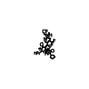 CCCC(CCC)N(C)C(=O)c1nc(C(=O)NC2CCCC2)sc1-c1cnc(NCC(F)(F)F)cc1C(F)F